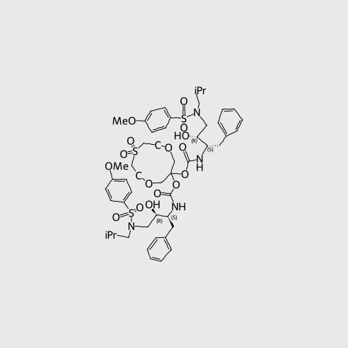 COc1ccc(S(=O)(=O)N(CC(C)C)C[C@@H](O)[C@H](Cc2ccccc2)NC(=O)OC2(OC(=O)N[C@@H](Cc3ccccc3)[C@H](O)CN(CC(C)C)S(=O)(=O)c3ccc(OC)cc3)COCCS(=O)(=O)CCOC2)cc1